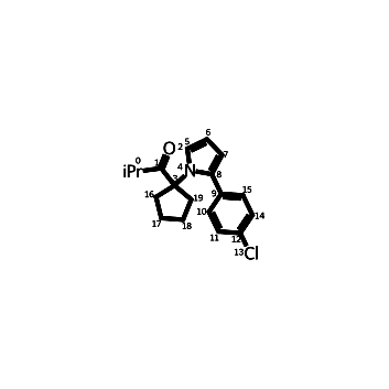 CC(C)C(=O)C1(n2cccc2-c2ccc(Cl)cc2)CCCC1